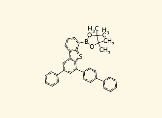 CC1(C)OB(c2cccc3c2sc2c(-c4ccc(-c5ccccc5)cc4)cc(-c4ccccc4)cc23)OC1(C)C